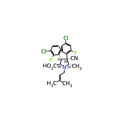 CC(C)=CCN1[C@@H](C)[C@](C#N)(c2ccc(Cl)cc2F)[C@@H](c2cccc(Cl)c2F)[C@@H]1C(=O)O